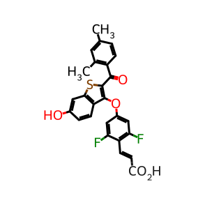 Cc1ccc(C(=O)c2sc3cc(O)ccc3c2Oc2cc(F)c(/C=C/C(=O)O)c(F)c2)c(C)c1